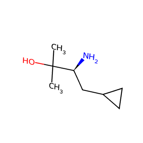 CC(C)(O)[C@@H](N)CC1CC1